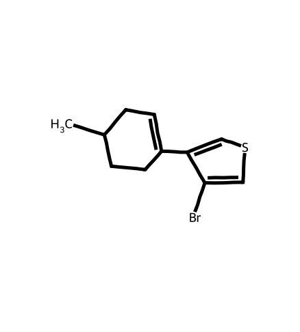 CC1CC=C(c2cscc2Br)CC1